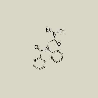 CCN(CC)C(=O)CN(C(=O)c1ccccc1)c1ccccc1